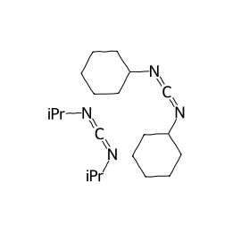 C(=NC1CCCCC1)=NC1CCCCC1.CC(C)N=C=NC(C)C